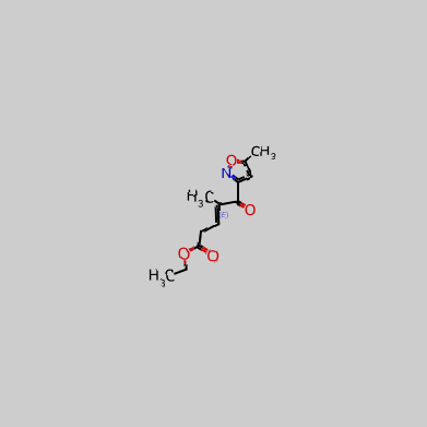 CCOC(=O)C/C=C(\C)C(=O)c1cc(C)on1